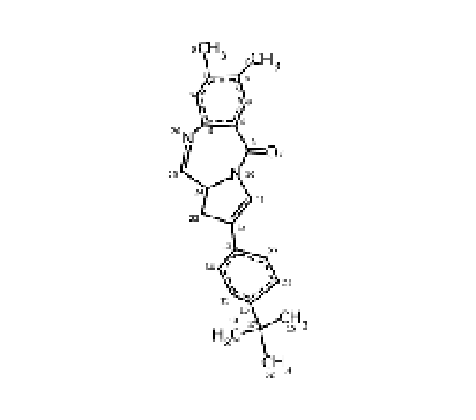 Cc1cc2c(cc1C)C(=O)N1C=C(c3ccc(C(C)(C)C)cc3)CC1C=N2